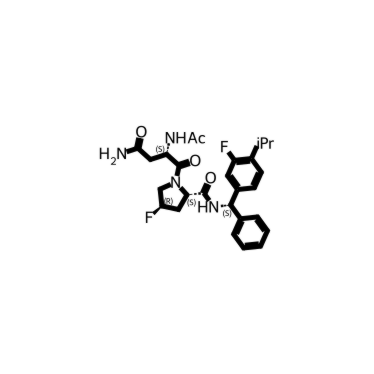 CC(=O)N[C@@H](CC(N)=O)C(=O)N1C[C@H](F)C[C@H]1C(=O)N[C@@H](c1ccccc1)c1ccc(C(C)C)c(F)c1